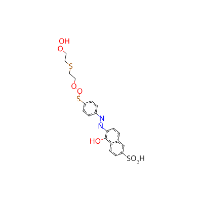 O=S(=O)(O)c1ccc2c(O)c(N=Nc3ccc(SOOCCSCCOO)cc3)ccc2c1